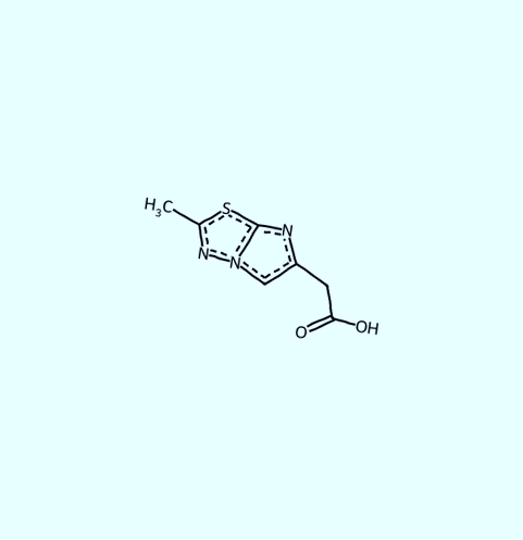 Cc1nn2cc(CC(=O)O)nc2s1